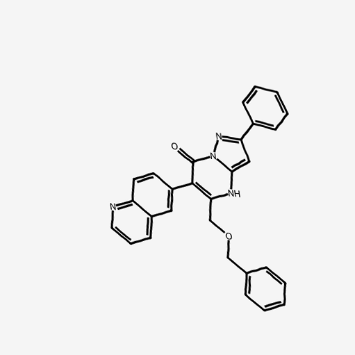 O=c1c(-c2ccc3ncccc3c2)c(COCc2ccccc2)[nH]c2cc(-c3ccccc3)nn12